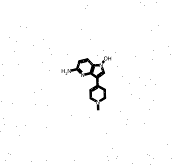 CN1CC=C(c2cn(O)c3ccc(N)nc23)CC1